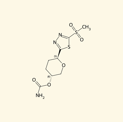 CS(=O)(=O)c1nnc([C@@H]2CC[C@@H](OC(N)=O)CO2)s1